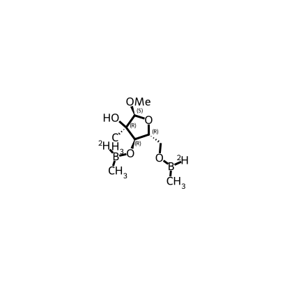 [2H]B(C)OC[C@H]1O[C@H](OC)[C@](C)(O)[C@@H]1OB([2H])C